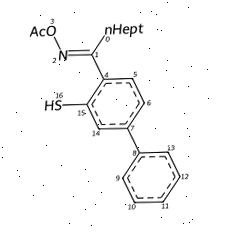 CCCCCCCC(=NOC(C)=O)c1ccc(-c2ccccc2)cc1S